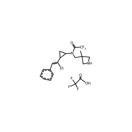 CC/C(=C\c1ccccc1)C1CC1N(CC1(C)CNC1)C(=O)C(F)(F)F.O=C(O)C(F)(F)F